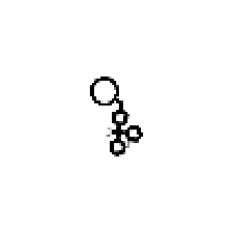 Clc1ccccc1C(Cl)(c1ccccc1)c1ccc(CC2CCCCCCCCCC2)cc1